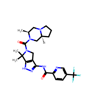 C[C@H]1CN2CCC[C@H]2CN1C(=O)N1Cc2c(NC(=O)c3ccc(C(F)(F)F)cn3)n[nH]c2C1(C)C